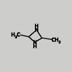 CC1NC(C)N1